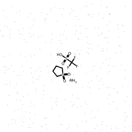 O=S(=O)(O)C(F)(F)F.O=S1(=O)CCCC1.[AlH3]